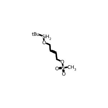 CC(C)(C)[SiH2]OCC=CCOS(C)(=O)=O